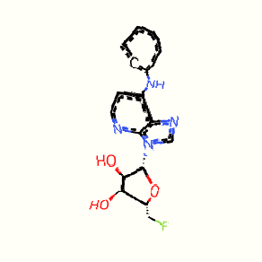 O[C@@H]1[C@H](O)[C@@H](CF)O[C@H]1n1cnc2c(Nc3ccccc3)ccnc21